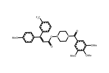 COc1ccc(C(=CC(=O)ON2CCN(C(=O)c3cc(OC)c(OC)c(OC)c3)CC2)c2cccc(C(F)(F)F)c2)cc1